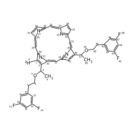 [2H]C1=C(C(C)OCCc2cc(F)cc(F)c2)C2=CC3=NC(=CC4=NC(=CC5=NC(=CC1=N2)C=C5)C=C4)C(C(C)OCCc1cc(F)cc(F)c1)=C3